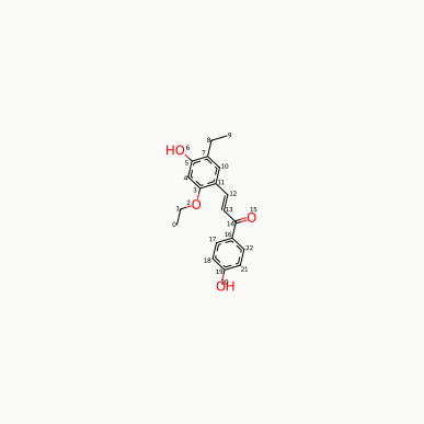 CCOc1cc(O)c(CC)cc1/C=C/C(=O)c1ccc(O)cc1